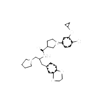 O=C(NC(Cc1ccc2c(c1)OCCO2)CN1CCCC1)C1CCN(c2ccc(Cl)c(OC3CC3)c2)C1